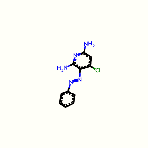 Nc1cc(Cl)c(/N=N/c2ccccc2)c(N)n1